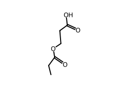 CCC(=O)OCCC(=O)O